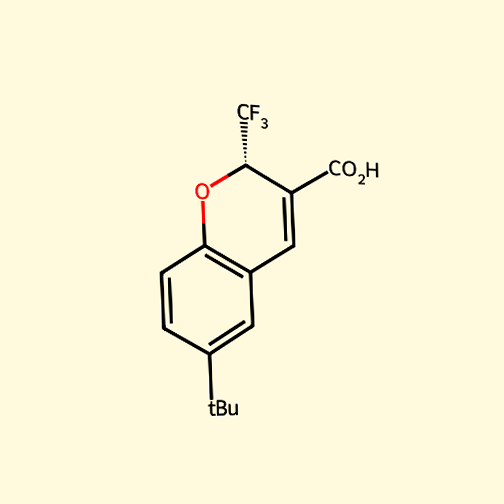 CC(C)(C)c1ccc2c(c1)C=C(C(=O)O)[C@@H](C(F)(F)F)O2